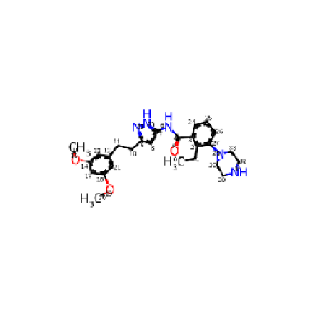 CCc1c(C(=O)Nc2cc(CCc3cc(OC)cc(OC)c3)n[nH]2)cccc1N1CCNCC1